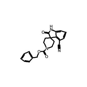 N#Cc1cccc2c1C1(CCN(C(=O)OCc3ccccc3)CC1)C(=O)N2